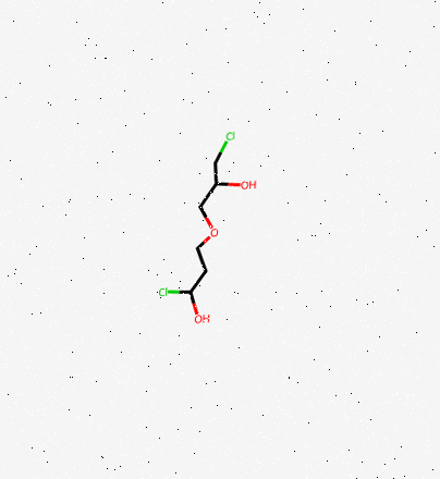 OC(Cl)CCOCC(O)CCl